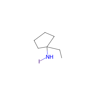 CCC1(NI)CCCC1